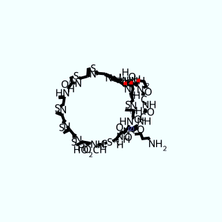 C=C1NC(=O)[C@H]2CSC(=N2)c2csc(n2)-c2ccc3c(n2)[C@@H](C)NC(=O)[C@@H]2CCCN2C(=O)CNC(=O)CNC(=O)[C@H](CCCCN)NC(=O)[C@@](C)(NC(=O)/C(=C/C)NC(=O)[C@H]2CSC(=N2)[C@@H](CC(N)=O)NC3=O)SC[C@H](C(=O)O)NC(=O)[C@@H]2CSC(=N2)c2csc(n2)-c2csc1n2